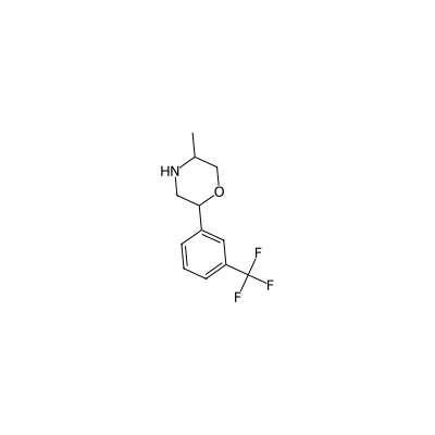 CC1COC(c2cccc(C(F)(F)F)c2)CN1